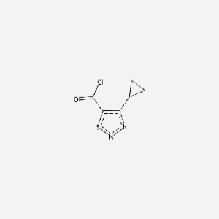 O=C(Cl)c1snnc1C1CC1